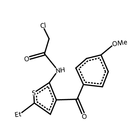 CCc1cc(C(=O)c2ccc(OC)cc2)c(NC(=O)CCl)s1